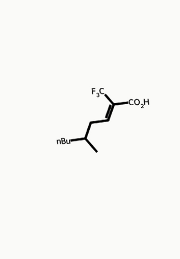 CCCCC(C)CC=C(C(=O)O)C(F)(F)F